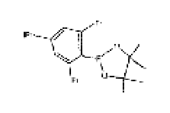 CC(C)c1cc(C(C)C)c(B2OC(C)(C)C(C)(C)O2)c(C(C)C)c1